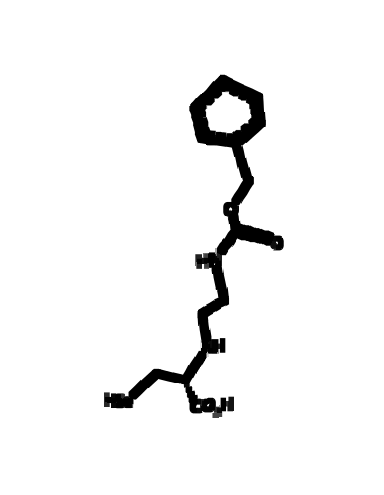 O=C(NCCN[C@@H](C[SeH])C(=O)O)OCc1ccccc1